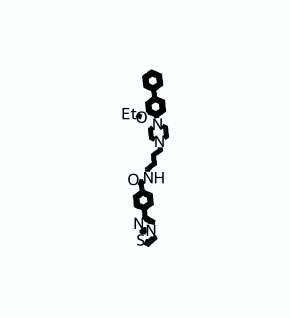 CCOc1cc(-c2ccccc2)ccc1N1CCN(CCCCNC(=O)c2ccc(-c3cn4ccsc4n3)cc2)CC1